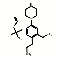 CC(C)(C)OC=O.NCCc1ccc(N2CCNCC2)cc1CN